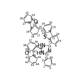 c1ccc(C2=NC(c3cccc4c3sc3c(-c5cccc6c5oc5ccccc56)cccc34)NC(c3cccc4oc5ccccc5c34)N2)cc1